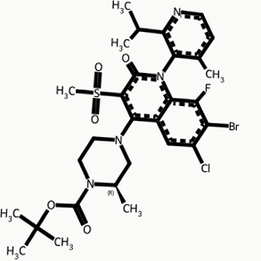 Cc1ccnc(C(C)C)c1-n1c(=O)c(S(C)(=O)=O)c(N2CCN(C(=O)OC(C)(C)C)[C@H](C)C2)c2cc(Cl)c(Br)c(F)c21